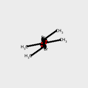 CCCCCCCCCCCCCCCCc1ccc(C2(c3ccc(CCCCCCCCCCCCCCCC)cc3)c3c(F)c4c(c(F)c3-c3sc5cc(Br)sc5c32)C(c2ccc(CCCCCCCCCCCCCCCC)cc2)(c2ccc(CCCCCCCCCCCCCCCC)cc2)c2c-4sc3cc(Br)sc23)cc1